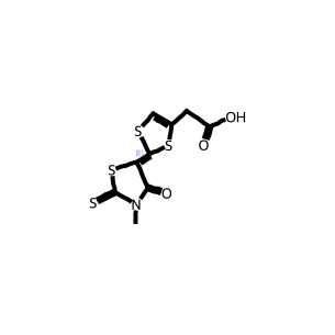 CN1C(=O)/C(=C2/SC=C(CC(=O)O)S2)SC1=S